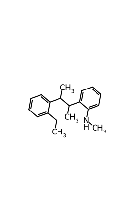 CCc1ccccc1C(C)C(C)c1ccccc1NC